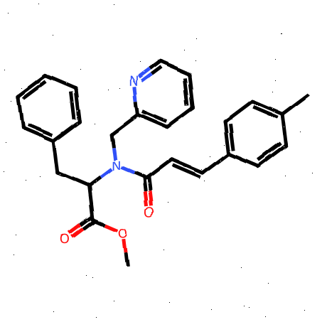 COC(=O)C(Cc1ccccc1)N(Cc1ccccn1)C(=O)C=Cc1ccc(C)cc1